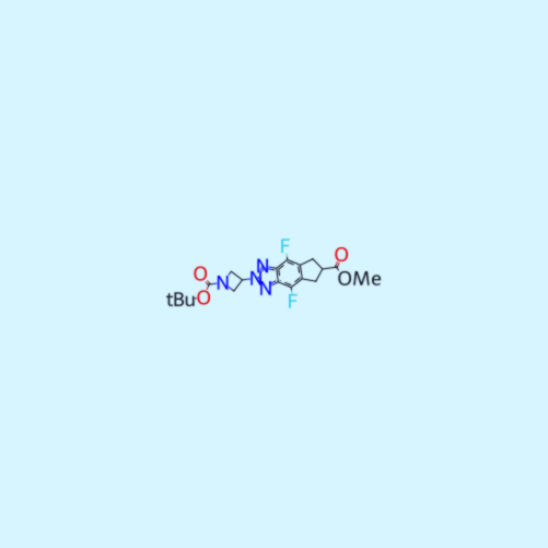 COC(=O)C1Cc2c(c(F)c3nn(C4CN(C(=O)OC(C)(C)C)C4)nc3c2F)C1